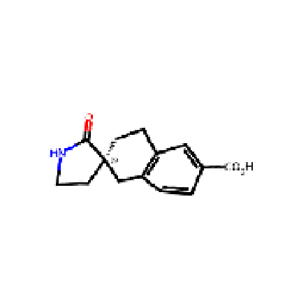 O=C(O)c1ccc2c(c1)CC[C@@]1(CCNC1=O)C2